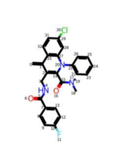 C=C1C(CNC(=O)c2ccc(F)cc2)=C(C(=O)N(C)C)N(c2ccccc2)c2cc(Cl)ccc21